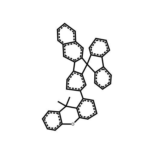 CC1(C)c2ccccc2Oc2cccc(-c3ccc4c(c3)C3(c5ccccc5-c5ccccc53)c3cc5ccccc5cc3-4)c21